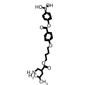 CC(C)CC(CN)C(=O)OCCCCOc1ccc(C(=O)Oc2ccc(B(O)O)cc2)cc1